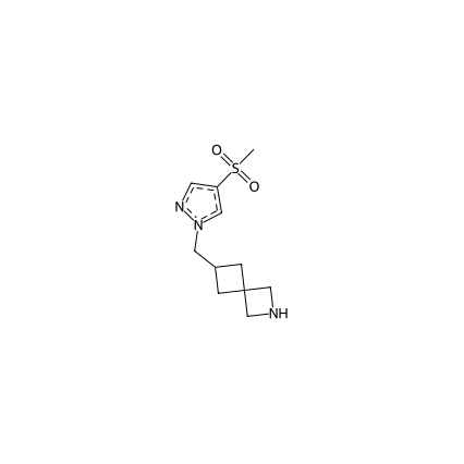 CS(=O)(=O)c1cnn(CC2CC3(CNC3)C2)c1